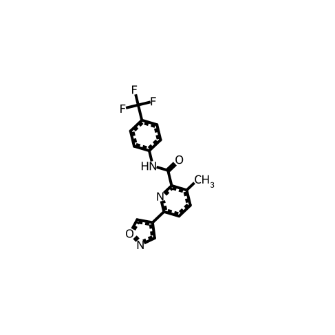 Cc1ccc(-c2cnoc2)nc1C(=O)Nc1ccc(C(F)(F)F)cc1